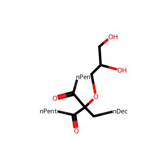 CCCCCCCCCCCC(OCC(O)CO)(C(=O)CCCCC)C(=O)CCCCC